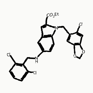 CCOC(=O)c1cc2cc(NCc3c(Cl)cccc3Cl)ccc2n1Cc1cc2c(cc1Cl)OCO2